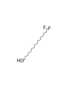 OCCCCCCCCCCCCCCCC(F)F